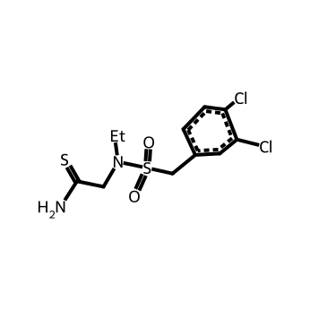 CCN(CC(N)=S)S(=O)(=O)Cc1ccc(Cl)c(Cl)c1